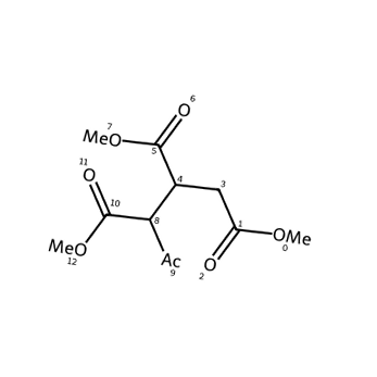 COC(=O)CC(C(=O)OC)C(C(C)=O)C(=O)OC